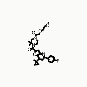 COCCOCC(=O)N1CCN(C(=O)c2cc3nc(-c4ccc(F)cc4)cc(C4(C)CC4)c3o2)C(C)(C)C1